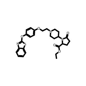 CCOC(=O)C1CCC(=O)N1C1CCN(CCOc2ccc(Oc3nc4ccccc4s3)cc2)CC1